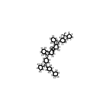 CC1(C)c2ccccc2-c2ccc(-n3c4ccccc4c4c5oc6c(ccc7c6c6ccccc6n7-c6ccc(N(c7ccccc7)c7ccc(-c8ccccc8)cc7)cc6)c5ccc43)cc21